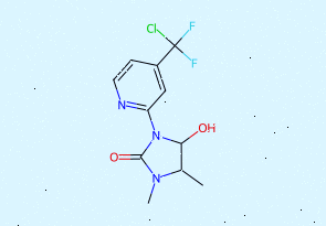 CC1C(O)N(c2cc(C(F)(F)Cl)ccn2)C(=O)N1C